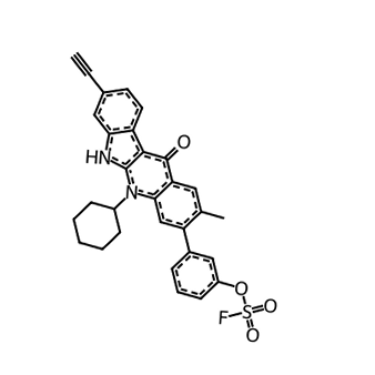 C#Cc1ccc2c(c1)[nH]c1c2c(=O)c2cc(C)c(-c3cccc(OS(=O)(=O)F)c3)cc2n1C1CCCCC1